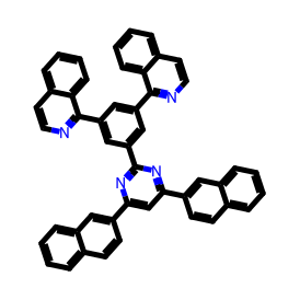 c1ccc2cc(-c3cc(-c4ccc5ccccc5c4)nc(-c4cc(-c5nccc6ccccc56)cc(-c5nccc6ccccc56)c4)n3)ccc2c1